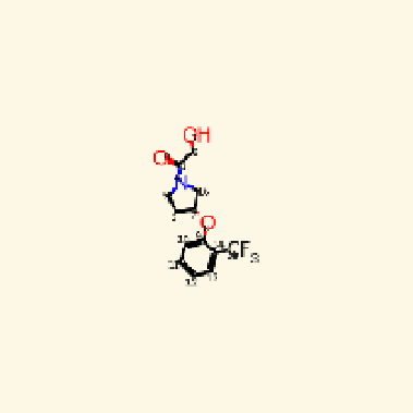 O=C(CO)N1CC[C@@H](Oc2ccccc2C(F)(F)F)C1